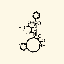 CC(C)C(NS(=O)(=O)c1ccccc1)C(=O)NC1CCc2cnccc2CCCCNC(=O)C1=O